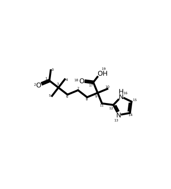 CC(=O)C(C)(C)CCCC(C)(Cc1ncc[nH]1)C(=O)O